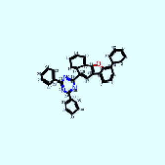 C1=CCC(c2cccc3c2oc2c4ccccc4c(-c4nc(-c5ccccc5)nc(-c5ccccc5)n4)cc32)C=C1